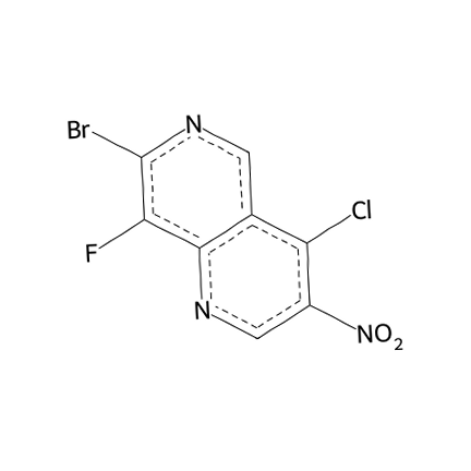 O=[N+]([O-])c1cnc2c(F)c(Br)ncc2c1Cl